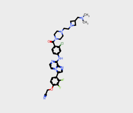 CN(C)CC1CN(CCN2CCN(C(=O)c3ccc(Nc4nccn5c(-c6ccc(OCC#N)c(F)c6F)cnc45)cc3Cl)CC2)C1